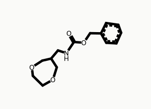 O=C(NCC1COCCOC1)OCc1ccccc1